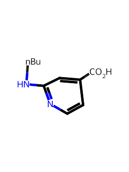 CCCCNc1cc(C(=O)O)ccn1